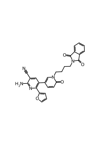 N#Cc1cc(-c2ccc(=O)n(CCCCN3C(=O)c4ccccc4C3=O)c2)c(-c2ccco2)nc1N